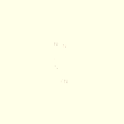 Cn1ncc2nc(C#N)ccc21